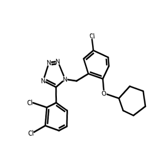 Clc1ccc(OC2CCCCC2)c(Cn2nnnc2-c2cccc(Cl)c2Cl)c1